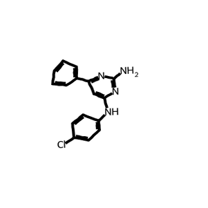 Nc1nc(Nc2ccc(Cl)cc2)cc(-c2ccccc2)n1